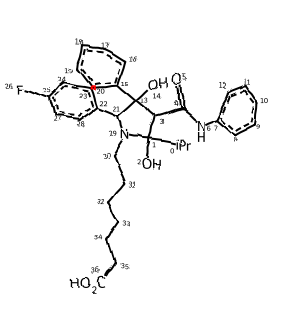 CC(C)C1(O)C(C(=O)Nc2ccccc2)C(O)(c2ccccc2)C(c2ccc(F)cc2)N1CCCCCCC(=O)O